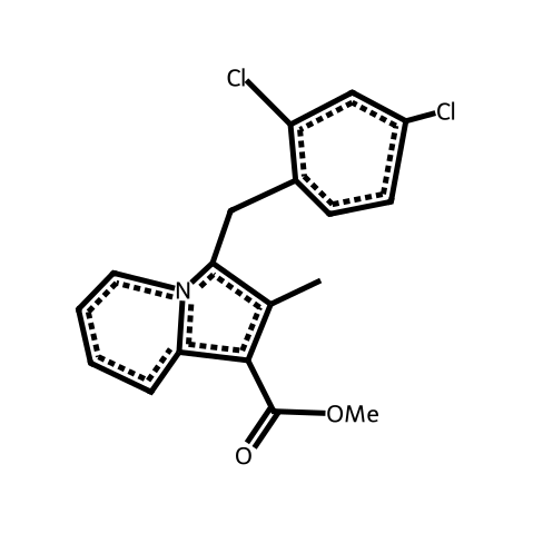 COC(=O)c1c(C)c(Cc2ccc(Cl)cc2Cl)n2ccccc12